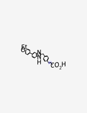 CCOc1ccc(-c2ccc3[nH]c(Cc4ccc(/C=C/C(=O)O)cc4)nc3c2)cc1